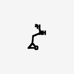 [2H]NCC1CO1